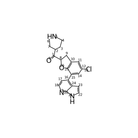 O=C(C1CCNCC1)C1Cc2cc(Cl)cc(-c3ccnc4[nH]ccc34)c2O1